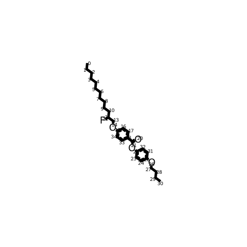 CCCCCCCCCCCC(F)COc1ccc(C(=O)Oc2ccc(OCCCC)cc2)cc1